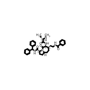 CC[C@H](NC)C(=O)N[C@@H]1C(=O)N2[C@@H](CC[C@@H]1CCNC(=O)c1ccccc1)CC[C@H]2C(=O)NC(c1ccccc1)c1ccccc1